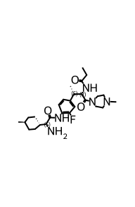 CCC(=O)N[C@@H](C(=O)N1CCN(C)CC1)[C@@H](C)c1ccc(NC(=O)[C@@H](N)[C@H]2CC[C@H](C)CC2)c(F)c1